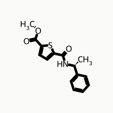 COC(=O)c1ccc(C(=O)N[C@H](C)c2ccccc2)s1